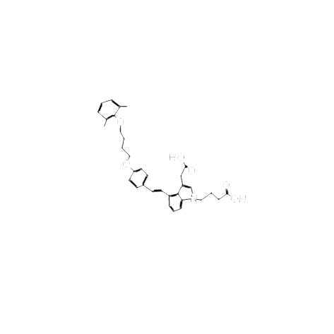 Cc1cccc(C)c1OCCCCOc1ccc(C=Cc2cccc3c2c(CC(=O)O)cn3CCCC(=O)O)cc1